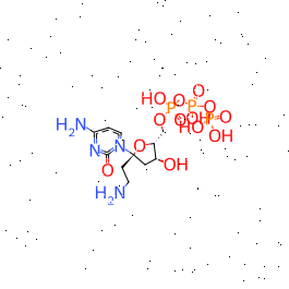 NCC[C@]1(n2ccc(N)nc2=O)C[C@H](O)[C@@H](COP(=O)(O)OP(=O)(O)OP(=O)(O)O)O1